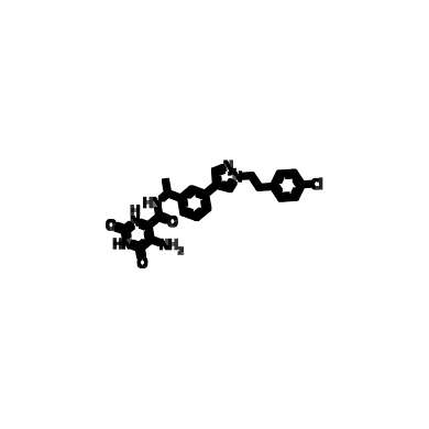 CC(NC(=O)c1[nH]c(=O)[nH]c(=O)c1N)c1cccc(-c2cnn(CCc3ccc(Cl)cc3)c2)c1